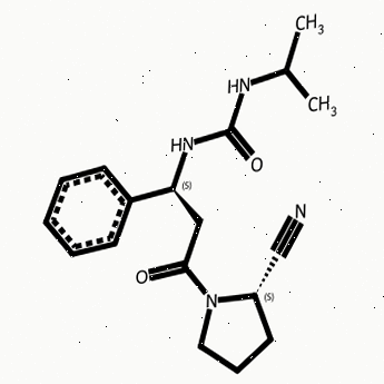 CC(C)NC(=O)N[C@@H](CC(=O)N1CCC[C@H]1C#N)c1ccccc1